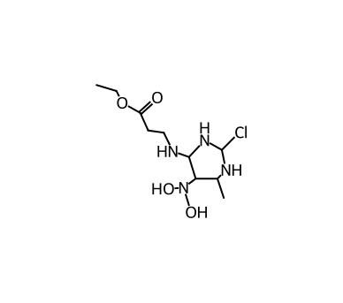 CCOC(=O)CCNC1NC(Cl)NC(C)C1N(O)O